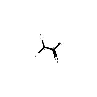 CC(=O)C(F)Cl